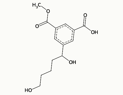 COC(=O)c1cc(C(=O)O)cc(C(O)CCCCO)c1